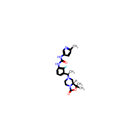 Cc1ccc(NC(=O)Nc2cccc([C@@H](C)N3CCN4C(=O)OC(C)(C)[C@@H]4C3)c2F)cn1